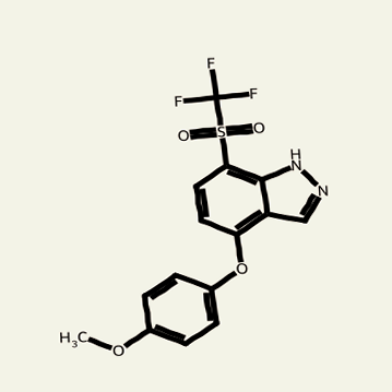 COc1ccc(Oc2ccc(S(=O)(=O)C(F)(F)F)c3[nH]ncc23)cc1